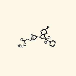 CC(C)(C)OC(=O)CCn1cc(-c2cn(S(=O)(=O)c3ccccc3)c3cc(F)ccc23)cn1